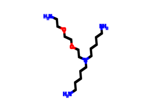 NCCCCCN(CCCCCN)CCOCCOCCN